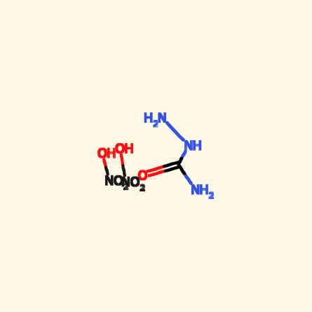 NNC(N)=O.O=[N+]([O-])O.O=[N+]([O-])O